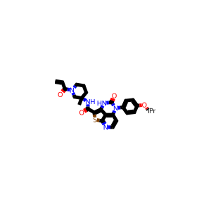 C=CC(=O)N1CCCC(C)(NC(=O)c2sc3nccc4c3c2NC(=O)N4c2ccc(OC(C)C)cc2)C1